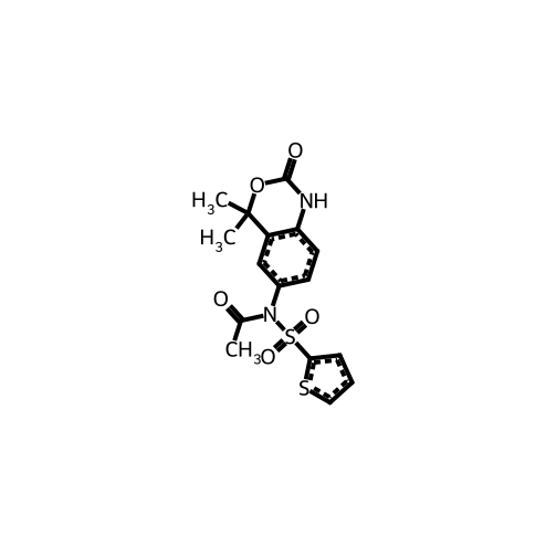 CC(=O)N(c1ccc2c(c1)C(C)(C)OC(=O)N2)S(=O)(=O)c1cccs1